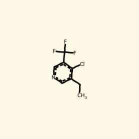 CCc1cncc(C(F)(F)F)c1Cl